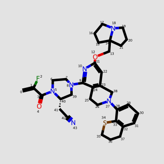 C=C(F)C(=O)N1CCN(c2nc(OCC34CCCN3CCC4)cc3c2CCN(c2cccc4c2SCCC4)C3)C[C@@H]1CC#N